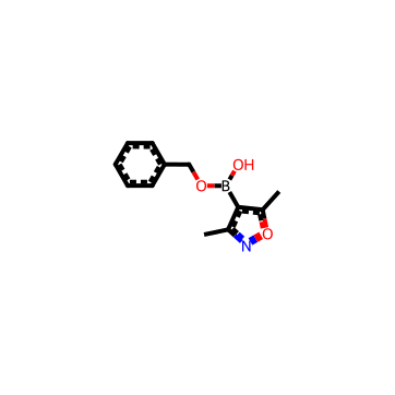 Cc1noc(C)c1B(O)OCc1ccccc1